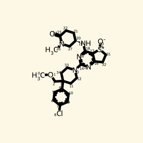 COCC1(c2ccc(Cl)cc2)CCN(c2nc3c(c(N[C@H]4CCC(=O)N(C)C4)n2)[S+]([O-])CC3)CC1